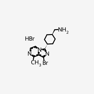 Br.Cc1nccn2c1c(Br)nc2[C@H]1CC[C@H](CN)CC1